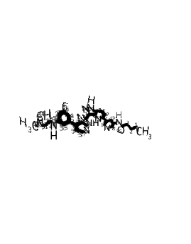 CCCCC(=O)Nc1cncc(-c2ccc3[nH]nc(-c4nc5c(-c6cc(F)cc(NCCN(C)C)c6)ccnc5[nH]4)c3n2)c1